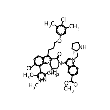 COC(=O)c1ccc2c(c1)c(N1C[C@@H](C)n3c(c(CCCOc4cc(C)c(Cl)c(C)c4)c4ccc(Cl)c(-c5c(C)nn(C)c5C)c43)C1=O)cn2C[C@H]1CCCN1